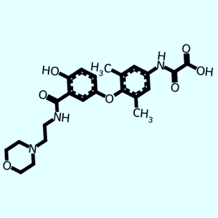 Cc1cc(NC(=O)C(=O)O)cc(C)c1Oc1ccc(O)c(C(=O)NCCN2CCOCC2)c1